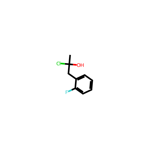 CC(O)(Cl)Cc1ccccc1F